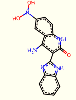 Nc1c(-c2nc3ccccc3[nH]2)c(=O)[nH]c2ccc(N(O)O)cc12